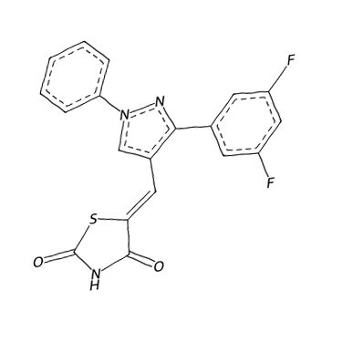 O=C1NC(=O)C(=Cc2cn(-c3ccccc3)nc2-c2cc(F)cc(F)c2)S1